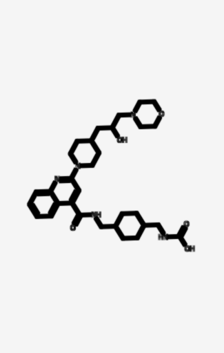 O=C(O)NCC1CCC(CNC(=O)c2cc(N3CCC(CC(O)CN4CCOCC4)CC3)nc3ccccc23)CC1